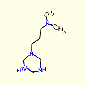 CN(C)CCCN1CNCNC1